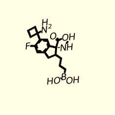 CN[C@@]1(C(=O)O)c2cc(C3(N)CCC3)c(F)cc2CC1CCCB(O)O